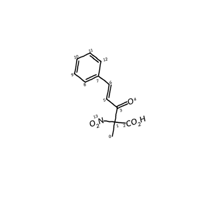 CC(C(=O)O)(C(=O)C=Cc1ccccc1)[N+](=O)[O-]